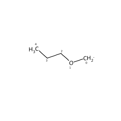 [CH2]OCCC